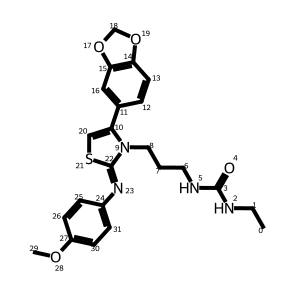 CCNC(=O)NCCCn1c(-c2ccc3c(c2)OCO3)cs/c1=N\c1ccc(OC)cc1